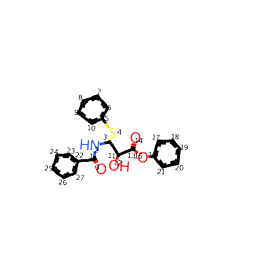 O=C(NC(Sc1ccccc1)C(O)C(=O)Oc1ccccc1)c1ccccc1